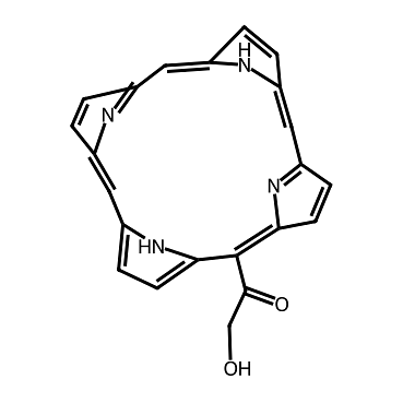 O=C(CO)c1c2nc(cc3ccc(cc4nc(cc5ccc1[nH]5)C=C4)[nH]3)C=C2